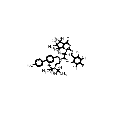 [2H]c1c([2H])c(CSc2nc(=O)c3c(n2C([2H])([2H])C(=O)N(CCN(C([2H])([2H])C)C([2H])([2H])C)Cc2ccc(-c4ccc(C(F)(F)F)cc4)cc2)C([2H])([2H])C([2H])(C)C3([2H])[2H])c([2H])c([2H])c1F